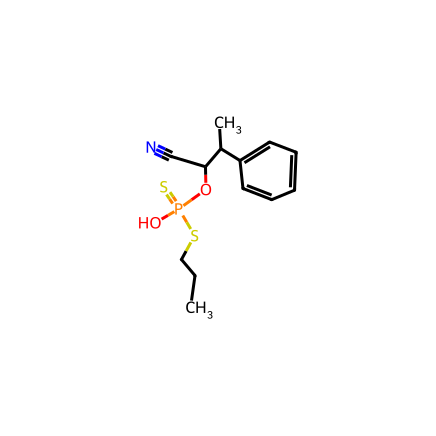 CCCSP(O)(=S)OC(C#N)C(C)c1ccccc1